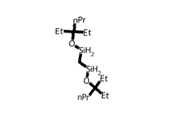 CCCC(CC)(CC)O[SiH2]C[SiH2]OC(CC)(CC)CCC